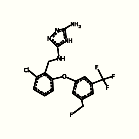 Nc1nnc(NCc2c(Cl)cccc2Oc2cc(CF)cc(C(F)(F)F)c2)[nH]1